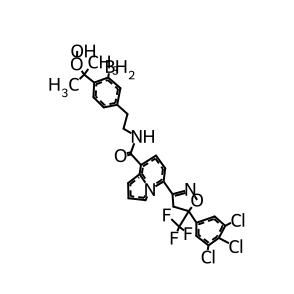 Bc1cc(CCNC(=O)c2ccc(C3=NOC(c4cc(Cl)c(Cl)c(Cl)c4)(C(F)(F)F)C3)n3cccc23)ccc1C(C)(C)OO